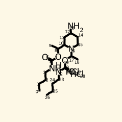 CCCCNC(=O)OC(C)C1CC(N)CCN1C(C)OC(=O)NCCCC.Cl.Cl